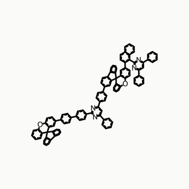 c1ccc(-c2cc(-c3ccc(-c4ccc5c(c4)C4(c6ccccc6Oc6ccc(-c7ccc8ccccc8c7-c7nc(-c8ccccc8)cc(-c8ccccc8)n7)cc64)c4ccccc4-5)cc3)nc(-c3ccc(-c4ccc(-c5ccc6c(c5)C5(c7ccccc7O6)c6ccccc6-c6ccccc65)cc4)cc3)n2)cc1